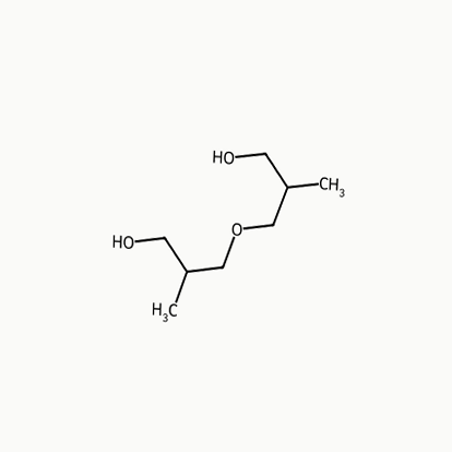 CC(CO)COCC(C)CO